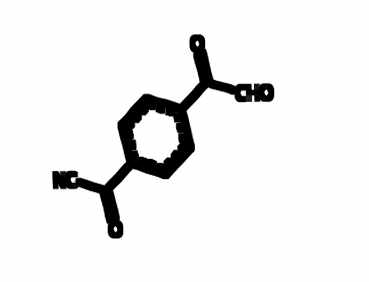 N#CC(=O)c1ccc(C(=O)C=O)cc1